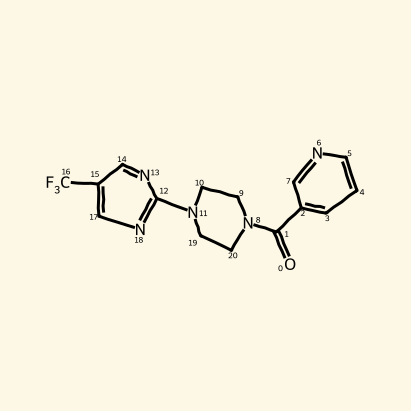 O=C(c1cccnc1)N1CCN(c2ncc(C(F)(F)F)cn2)CC1